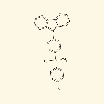 C[Si](C)(c1ccc(Br)cc1)c1ccc(-n2c3ccccc3c3ccccc32)cc1